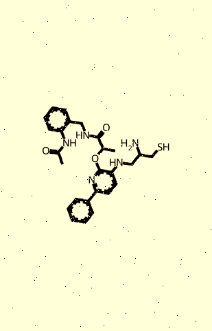 CC(=O)Nc1ccccc1CNC(=O)C(C)Oc1nc(-c2ccccc2)ccc1NCC(N)CS